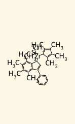 CC1=C(C)[CH]([Zr]([CH]2C=C(c3ccccc3)c3c(C)c(C)c(C)c(C)c32)=[Si](C)C)C(C)=C1C